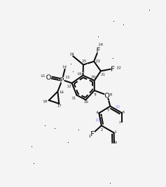 C=C/C(F)=C\C(=C/C)Oc1ccc(P(C)(=O)C2CC2)c2c1C(F)C(F)C2C